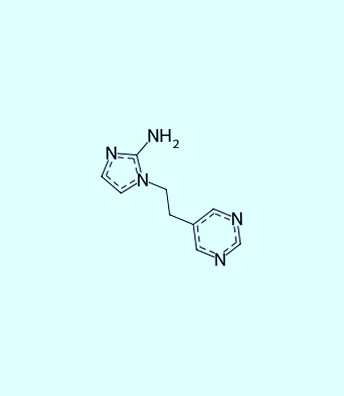 Nc1nccn1CCc1cncnc1